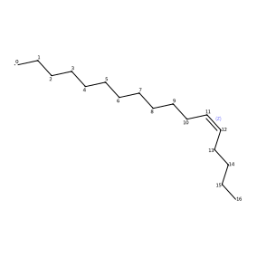 [CH2]CCCCCCCCCC/C=C\CCCC